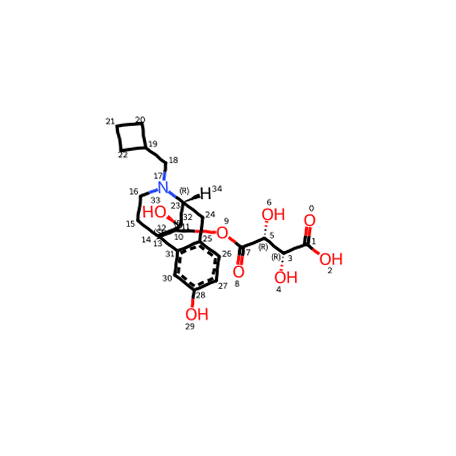 O=C(O)[C@H](O)[C@@H](O)C(=O)OC1CCC[C@]23CCN(CC4CCC4)[C@H](Cc4ccc(O)cc42)[C@]13O